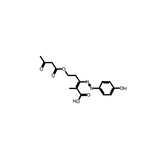 CC(=O)CC(=O)OCCC(N=Nc1ccc(O)cc1)=C(C)C(=O)O